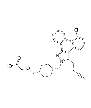 N#CCCc1c2c3cccc(Cl)c3c3ccccc3c2nn1C[C@H]1CC[C@@H](COCC(=O)O)CC1